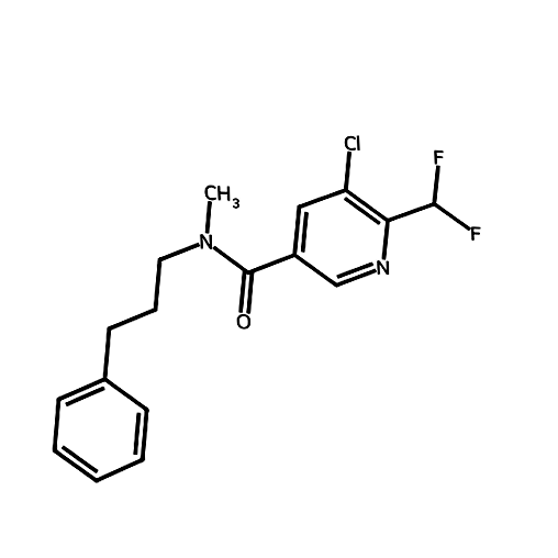 CN(CCCc1ccccc1)C(=O)c1cnc(C(F)F)c(Cl)c1